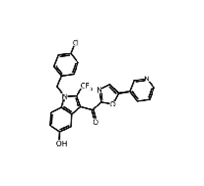 O=C(c1ncc(-c2cccnc2)o1)c1c(C(F)(F)F)n(Cc2ccc(Cl)cc2)c2ccc(O)cc12